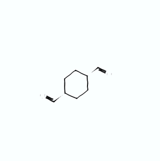 O=C[C@H]1CC[C@@H](C=O)CC1